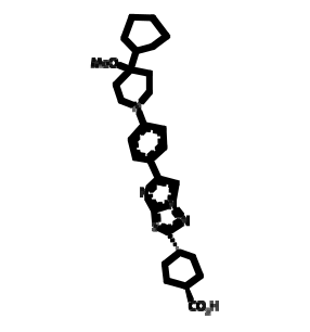 COC1(C2CCCCC2)CCN(c2ccc(-c3cn4nc([C@H]5CC[C@H](C(=O)O)CC5)sc4n3)cc2)CC1